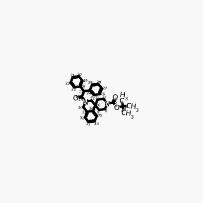 CC(C)(C)OC(=O)N1CCC2(CC1)CN(C(=O)C(c1ccccc1)c1ccccc1)Cc1ccccc12